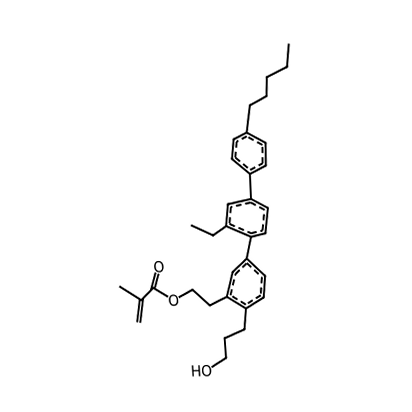 C=C(C)C(=O)OCCc1cc(-c2ccc(-c3ccc(CCCCC)cc3)cc2CC)ccc1CCCO